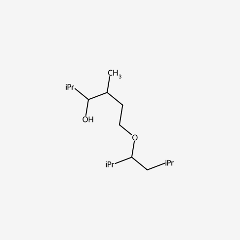 CC(C)CC(OCCC(C)C(O)C(C)C)C(C)C